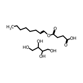 CCCCCCC=COC(=O)CCC(=O)O.OCC(O)C(O)CO